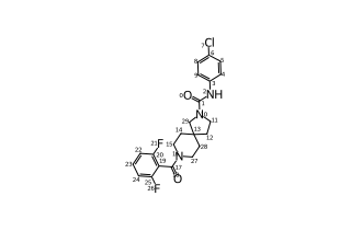 O=C(Nc1ccc(Cl)cc1)N1CCC2(CCN(C(=O)c3c(F)cccc3F)CC2)C1